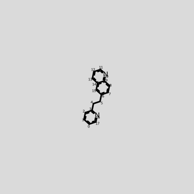 c1ccc(CCc2ccc3ncccc3c2)nc1